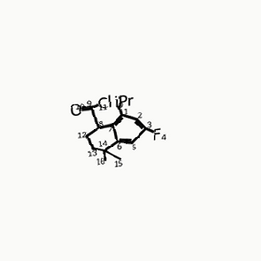 CC(C)c1cc(F)cc2c1C(C(=O)Cl)CCC2(C)C